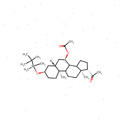 CC(=O)O[C@@H]1C[C@H]2C[C@H](O[Si](C)(C)C(C)(C)C)CC[C@]2(C)C2CC[C@@]3(C)C(CC[C@@H]3C(C)=O)C21